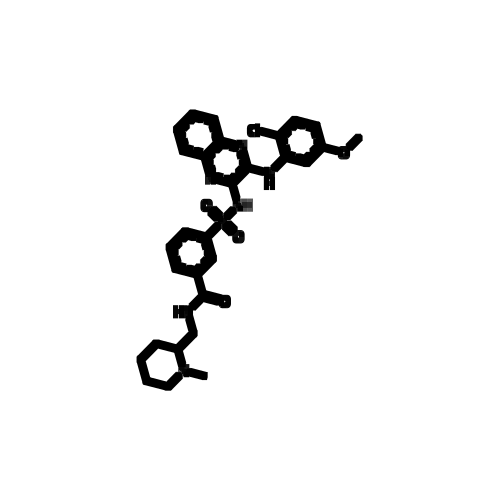 COc1ccc(Cl)c(Nc2nc3ccccc3nc2NS(=O)(=O)c2cccc(C(=O)NCC3CCCCN3C)c2)c1